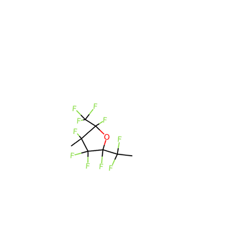 CC(F)(F)C1(F)OC(F)(C(F)(F)F)C(C)(F)C1(F)F